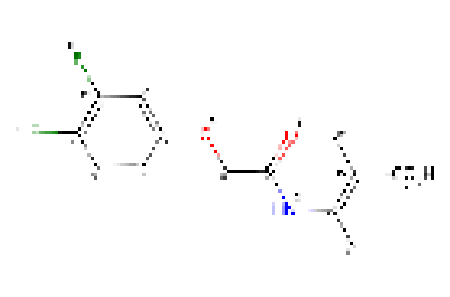 CC(NC(=O)COc1ccc(F)c(F)c1)=C(C)C(=O)O